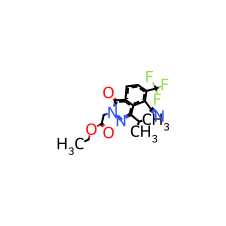 CCOC(=O)Cn1nc(C(C)C)c2c(C#N)c(C(F)(F)F)ccc2c1=O